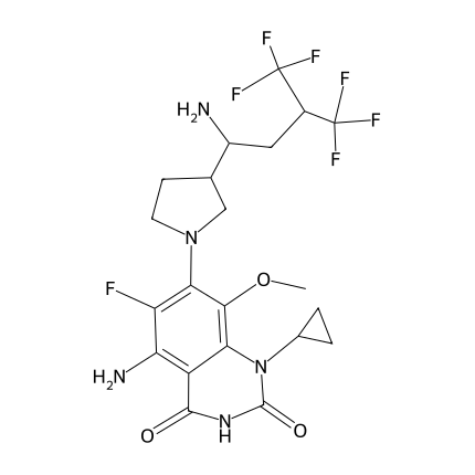 COc1c(N2CCC(C(N)CC(C(F)(F)F)C(F)(F)F)C2)c(F)c(N)c2c(=O)[nH]c(=O)n(C3CC3)c12